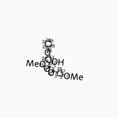 COc1ccc(C(=O)[CH]C(=O)c2c(O)cc(OCc3ccccc3)cc2OC)cc1